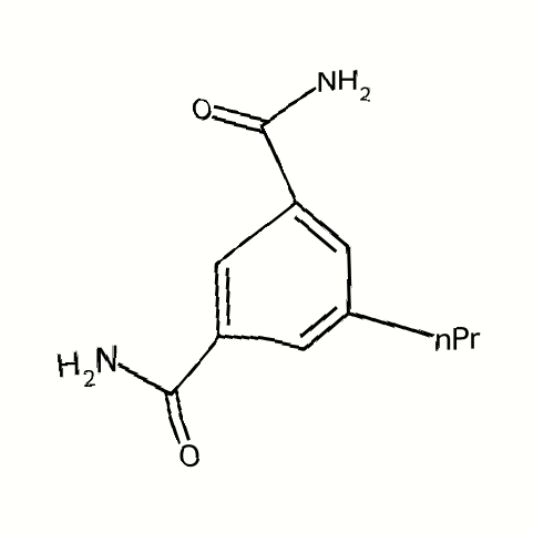 CCCc1cc(C(N)=O)cc(C(N)=O)c1